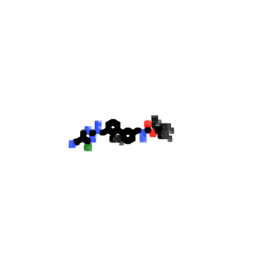 Cc1c(CNc2ncc(C#N)c(Cl)n2)cccc1-c1cccc(CNC(=O)OC(C)(C)C)c1